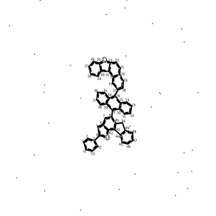 c1ccc(-c2cc3cc(-c4c5ccccc5c(-c5ccc6ccc7oc8ccccc8c7c6c5)c5ccccc45)c4c(c3o2)-c2ccccc2C4)cc1